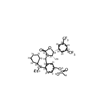 CCN(c1ncc(OS(C)(=O)=O)cc1CN1C(=O)O[C@H](c2cc(C(F)(F)F)cc(C(F)(F)F)c2)[C@@H]1C)C1CCCCC1